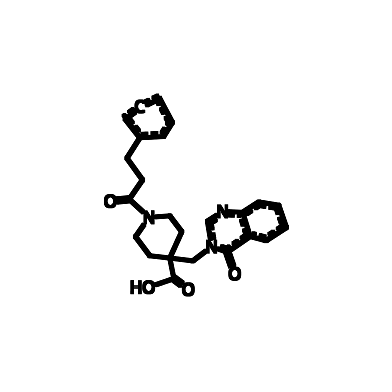 O=C(CCc1ccccc1)N1CCC(Cn2cnc3ccccc3c2=O)(C(=O)O)CC1